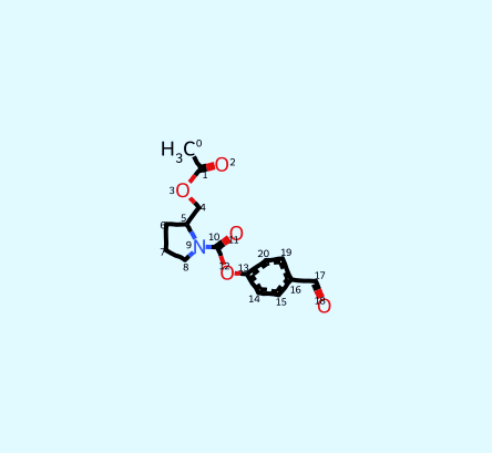 CC(=O)OCC1CCCN1C(=O)Oc1ccc(C=O)cc1